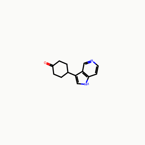 O=C1CCC(c2c[nH]c3ccncc23)CC1